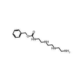 NCCNCCNCCNC(=O)OCc1ccccc1